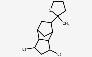 CCC1CC(CC)C2C3CC(CC3C3(C)CCCS3)C12